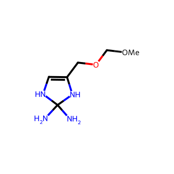 COCOCC1=CNC(N)(N)N1